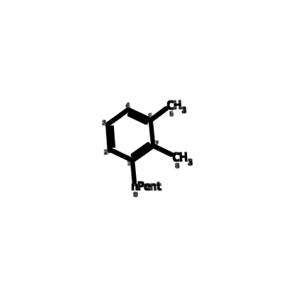 CCCCCc1[c]ccc(C)c1C